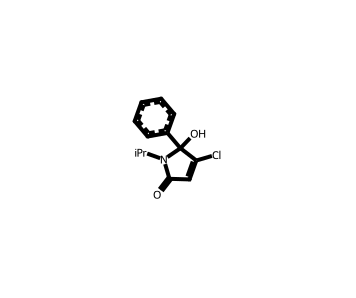 CC(C)N1C(=O)C=C(Cl)C1(O)c1ccccc1